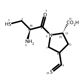 N[C@@H](CS)C(=O)N1CC(C=S)C[C@H]1C(=O)O